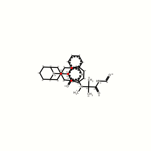 CN(c1nc2ccccc2n(C2CC3CCCC(C2)N3C2CC3CCCCC(C3)C2)c1=O)C(C)(C)C(=O)NC=O